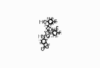 CC(C)(CC(O)(CC(=O)Nc1ccc2c(c1)COC2=O)Cc1ccc(F)c(F)c1)c1cc(F)ccc1O